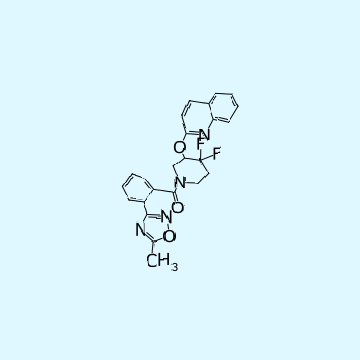 Cc1nc(-c2ccccc2C(=O)N2CCC(F)(F)C(Oc3ccc4ccccc4n3)C2)no1